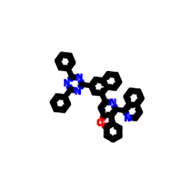 c1ccc(-c2nc(-c3ccccc3)nc(-c3cc(-c4cc5oc6ccccc6c5c(-c5nccc6ccccc56)n4)c4ccccc4c3)n2)cc1